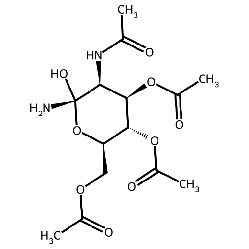 CC(=O)N[C@H]1[C@@H](OC(C)=O)[C@H](OC(C)=O)[C@@H](COC(C)=O)O[C@]1(N)O